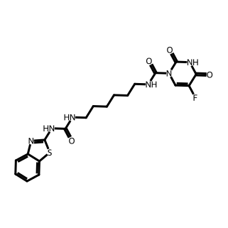 O=C(NCCCCCCNC(=O)n1cc(F)c(=O)[nH]c1=O)Nc1nc2ccccc2s1